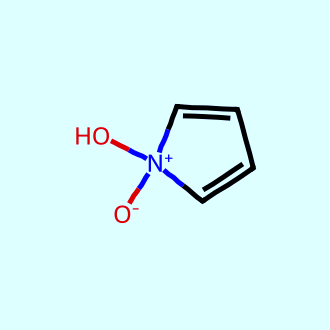 [O-][N+]1(O)C=CC=C1